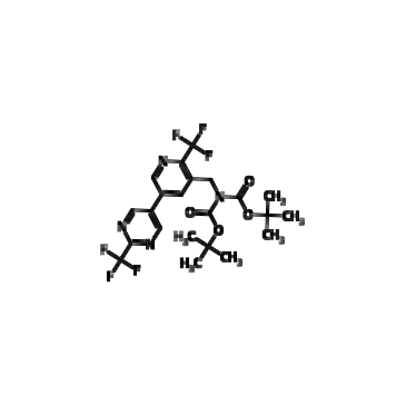 CC(C)(C)OC(=O)N(Cc1cc(-c2cnc(C(F)(F)F)nc2)cnc1C(F)(F)F)C(=O)OC(C)(C)C